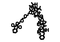 CC[C@H](C)[C@@H]([C@@H](CC(=O)N1CCC[C@H]1[C@H](OC)[C@@H](C)C(=O)N[C@@H](Cc1ccccc1)c1nccs1)OC)N(C)C(=O)[C@@H](NC(=O)[C@H](C(C)C)N(C)CCOCCOCCOCCON1C(=O)c2ccccc2C1=O)C(C)C